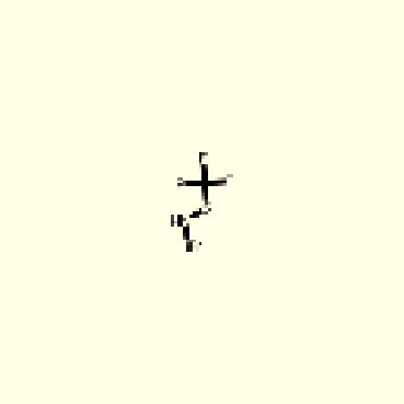 CC(C)NSC(F)(F)F